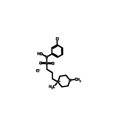 CN1CC[N+](C)(CCCS(=O)(=O)N(O)c2cccc(Cl)c2)CC1.[Cl-]